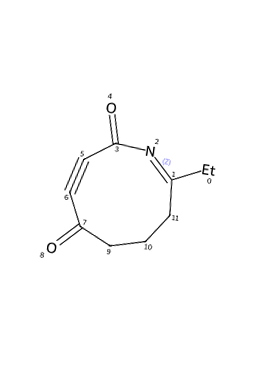 CC/C1=N/C(=O)C#CC(=O)CCC1